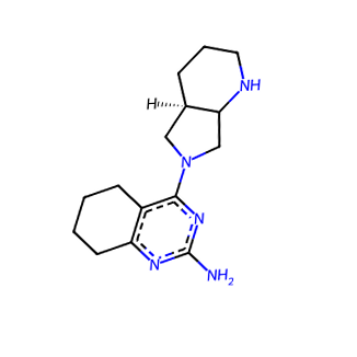 Nc1nc2c(c(N3CC4NCCC[C@@H]4C3)n1)CCCC2